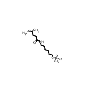 CSC(C)CCC(=O)NCCCCCCOP(C)(=O)O